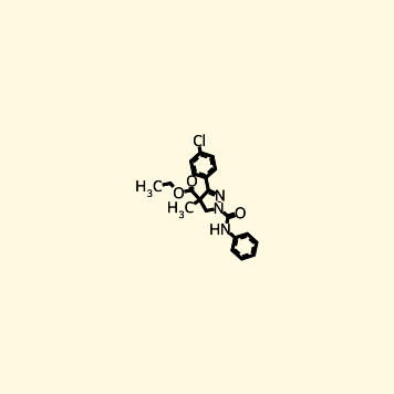 CCOC(=O)C1(C)CN(C(=O)Nc2ccccc2)N=C1c1ccc(Cl)cc1